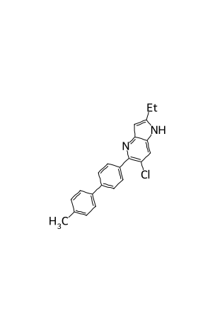 CCc1cc2nc(-c3ccc(-c4ccc(C)cc4)cc3)c(Cl)cc2[nH]1